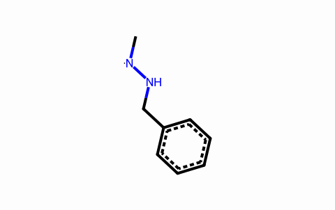 C[N]NCc1ccccc1